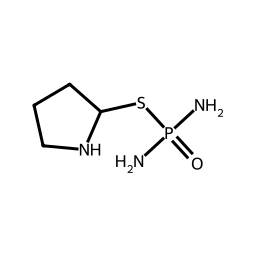 NP(N)(=O)SC1CCCN1